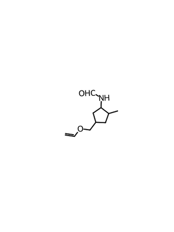 C=COCC1CC(C)C(NC=O)C1